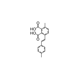 Cc1ccc(C=Cc2ccc(C)c(C(=O)O)c2C(=O)O)cc1